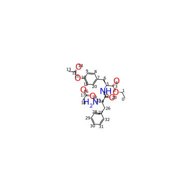 CCOC(=O)[C@H](Cc1ccc(OC(C)=O)c(OC(C)=O)c1)NC(=O)[C@@H](N)Cc1ccccc1